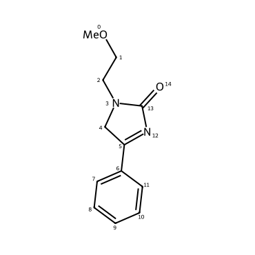 COCCN1CC(c2ccccc2)=NC1=O